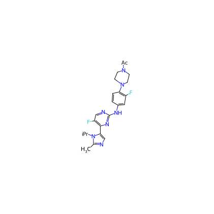 CC(=O)N1CCN(c2ccc(Nc3ncc(F)c(-c4cnc(C)n4C(C)C)n3)cc2F)CC1